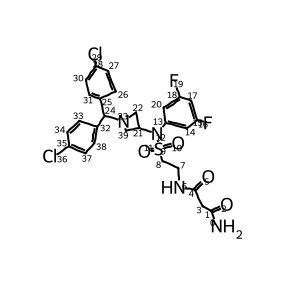 NC(=O)CC(=O)NCCS(=O)(=O)N(c1cc(F)cc(F)c1)C1CN(C(c2ccc(Cl)cc2)c2ccc(Cl)cc2)C1